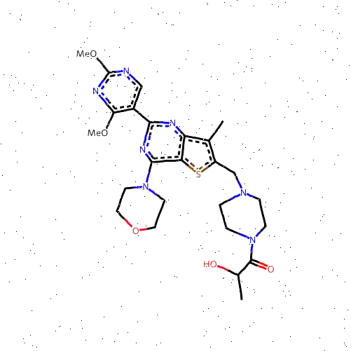 COc1ncc(-c2nc(N3CCOCC3)c3sc(CN4CCN(C(=O)C(C)O)CC4)c(C)c3n2)c(OC)n1